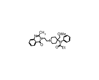 CCC(=O)N(c1ccccc1)C1(COC)CCN(CCn2c(C)nc3ccccc3c2=O)CC1